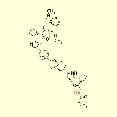 COC(=O)NCC(=O)N1CCC[C@H]1c1ncc(-c2ccc3cc(-c4ccc(-c5cnc([C@@H]6CCCN6C(=O)[C@@H](Cc6cn(C)c7ccccc67)NC(=O)OC)[nH]5)cc4)ccc3c2)[nH]1